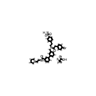 NS(=O)(=O)c1ccc(CCN(Cc2cccc(-c3cccc(C(=O)NCCN4CCCC4)c3)c2)C(=O)Cc2ccc(Br)cc2)cc1.O=C(O)C(F)(F)F